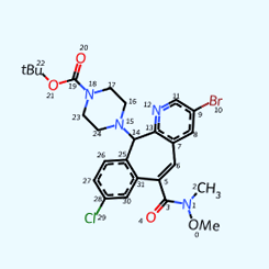 CON(C)C(=O)C1=Cc2cc(Br)cnc2C(N2CCN(C(=O)OC(C)(C)C)CC2)c2ccc(Cl)cc21